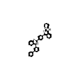 c1ccc(-c2cccc(-c3nc(-c4ccc(-c5nc6c(nc7ccccn76)c6ccccc56)cc4)nc4ccccc34)c2)cc1